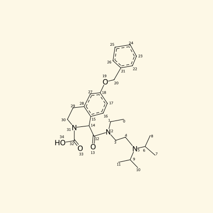 CCN(CCN(C(C)C)C(C)C)C(=O)C1c2ccc(OCc3ccccc3)cc2CCN1C(=O)O